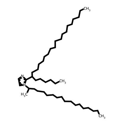 CCCCCCCCCCCCCCCCCCC(CCCCCC)c1nccn1C(C)CCCCCCCCCCCCCCCC